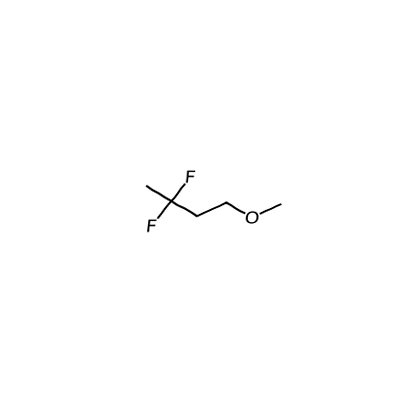 COCCC(C)(F)F